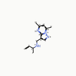 C=CC(C)NCc1cnn2c(C)cc(C)nc12